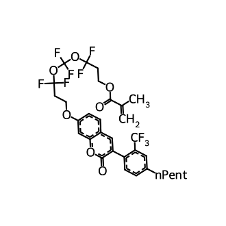 C=C(C)C(=O)OCCC(F)(F)OC(F)(F)OC(F)(F)CCOc1ccc2cc(-c3ccc(CCCCC)cc3C(F)(F)F)c(=O)oc2c1